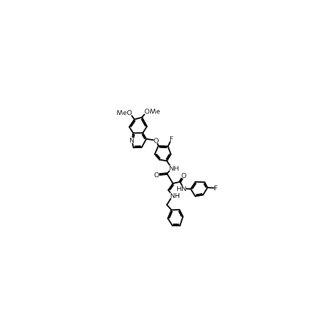 COc1cc2nccc(Oc3ccc(NC(=O)/C(=C/NCc4ccccc4)C(=O)Nc4ccc(F)cc4)cc3F)c2cc1OC